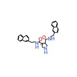 O=C(NCCc1ccc2ccccc2c1)C1CNC[C@H]1C(=O)NCCc1ccc2ccccc2c1